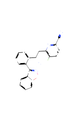 N#Cc1ccc(F)c(C[C@H](N)c2ccccc2-c2noc3ccccc23)n1